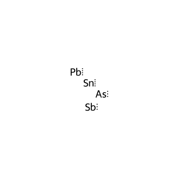 [As].[Pb].[Sb].[Sn]